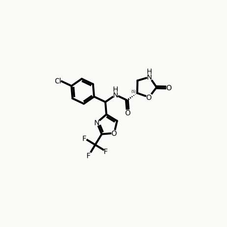 O=C1NC[C@@H](C(=O)NC(c2ccc(Cl)cc2)c2coc(C(F)(F)F)n2)O1